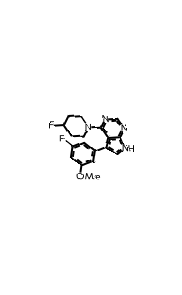 COc1cc(F)cc(-c2c[nH]c3ncnc(N4CCC(F)CC4)c23)c1